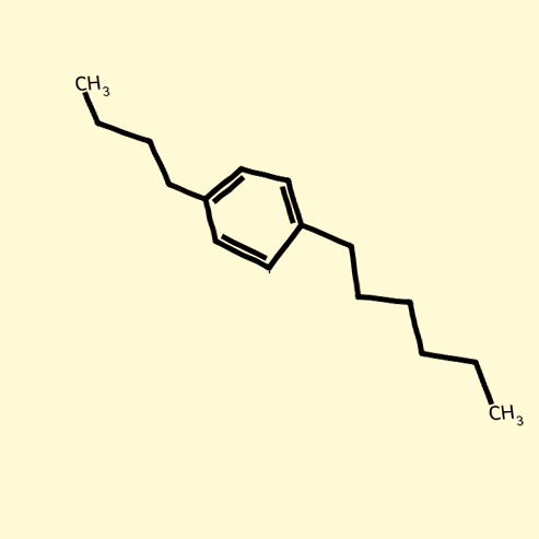 CCCCCCc1[c]cc(CCCC)cc1